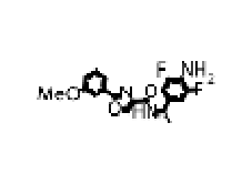 COc1cccc(-c2nc(C(=O)N[C@H](C)c3cc(F)c(N)c(F)c3)co2)c1